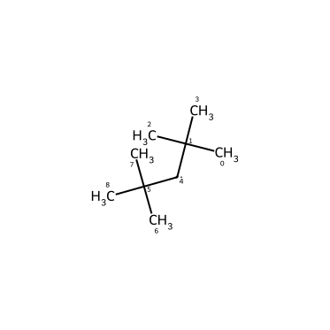 CC(C)(C)[CH]C(C)(C)C